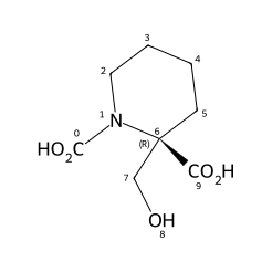 O=C(O)N1CCCC[C@@]1(CO)C(=O)O